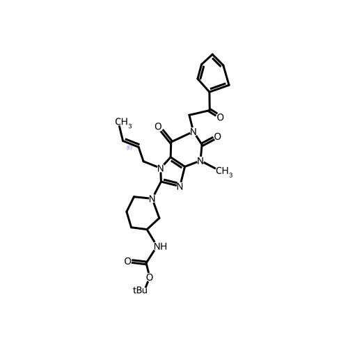 C/C=C/Cn1c(N2CCCC(NC(=O)OC(C)(C)C)C2)nc2c1c(=O)n(CC(=O)c1ccccc1)c(=O)n2C